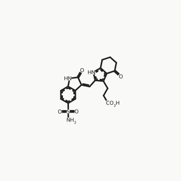 NS(=O)(=O)c1ccc2c(c1)C(=Cc1[nH]c3c(c1CCC(=O)O)C(=O)CCC3)C(=O)N2